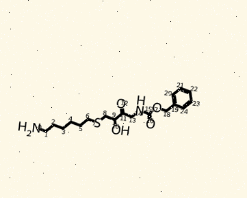 NCCCCCCSCC(O)C(=O)CNC(=O)OCc1ccccc1